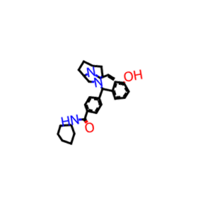 C=CCN1C2CCC1CN(C(c1ccc(C(=O)NC3CCCCC3)cc1)c1cccc(O)c1)CC2